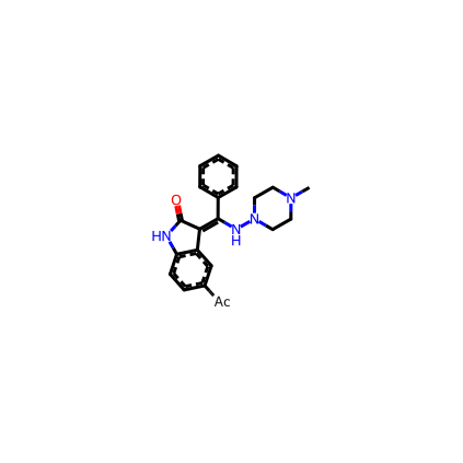 CC(=O)c1ccc2c(c1)C(=C(NN1CCN(C)CC1)c1ccccc1)C(=O)N2